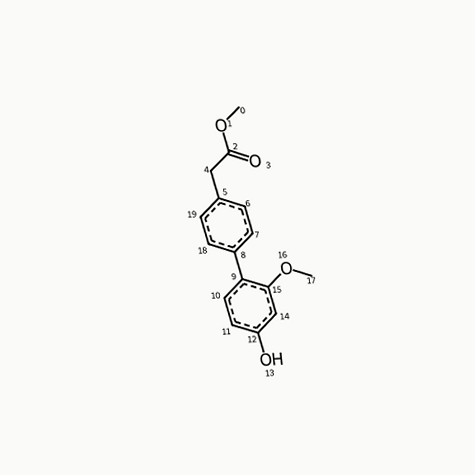 COC(=O)Cc1ccc(-c2ccc(O)cc2OC)cc1